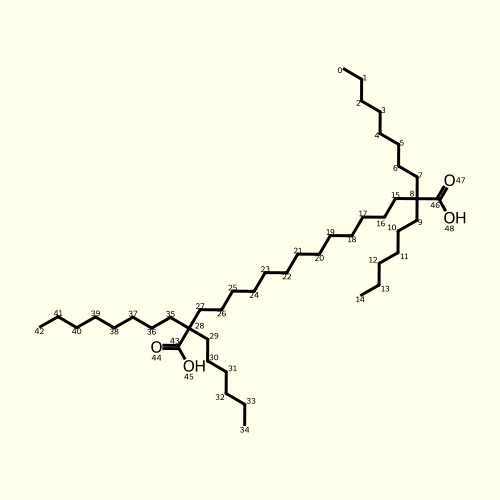 CCCCCCCCC(CCCCCC)(CCCCCCCCCCCCCC(CCCCCC)(CCCCCCCC)C(=O)O)C(=O)O